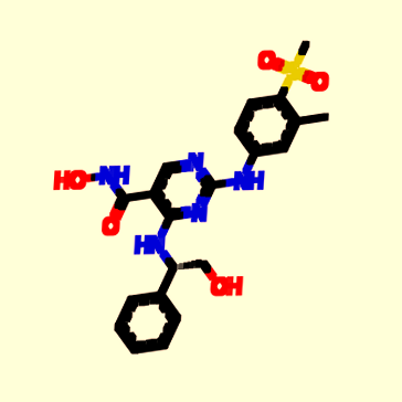 Cc1cc(Nc2ncc(C(=O)NO)c(N[C@H](CO)c3ccccc3)n2)ccc1S(C)(=O)=O